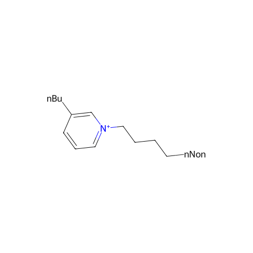 CCCCCCCCCCCCC[n+]1cccc(CCCC)c1